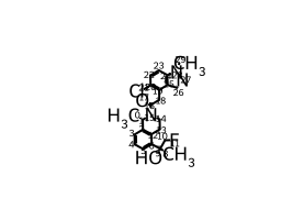 C[C@H]1c2cccc(C(C)(O)CF)c2CCN1C(=O)Cc1c(Cl)ccc2c1cnn2C